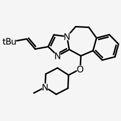 CN1CCC(OC2c3ccccc3CCn3cc(C=CC(C)(C)C)nc32)CC1